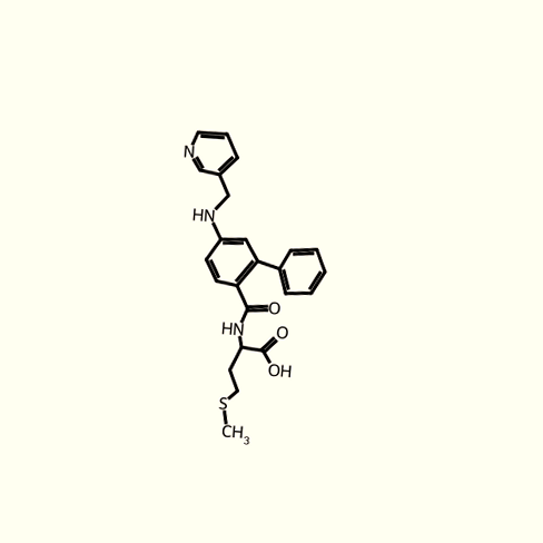 CSCCC(NC(=O)c1ccc(NCc2cccnc2)cc1-c1ccccc1)C(=O)O